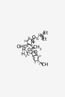 C#Cc1ccc2c(C)c(C(C)(C)c3nc(OCCN(CC)CC)ccc3C=O)oc2c1